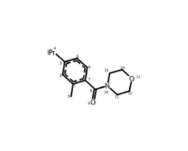 Cc1cc(C(C)C)ccc1C(=O)N1CCOCC1